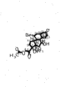 CC(=O)OCC(=O)[C@@]1(O)CC[C@H]2[C@H]3[C@H]([C@@H](O)C[C@@]21C)[C@@]1(C)C=CC(=O)C=C1C[C@H]3Br